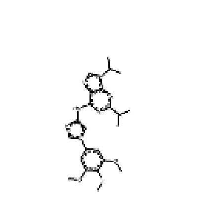 COc1cc(-n2cnc(Nc3nc(C(C)C)nc4c3ncn4C(C)C)c2)cc(OC)c1OC